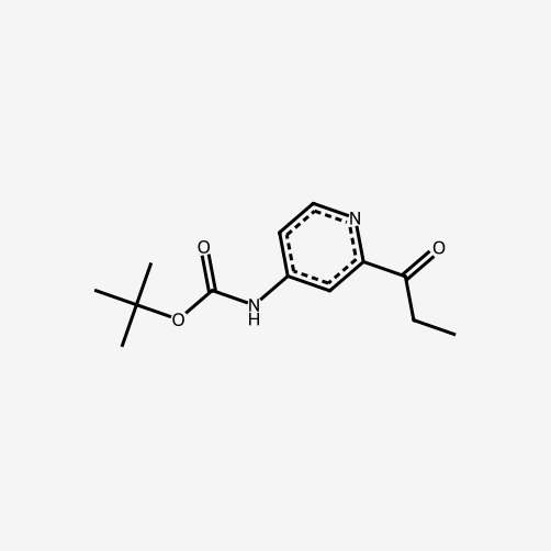 CCC(=O)c1cc(NC(=O)OC(C)(C)C)ccn1